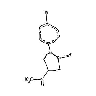 O=C(O)NC1CC(=O)N(c2ccc(Br)cc2)C1